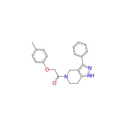 Cc1ccc(OCC(=O)N2CCc3[nH]nc(-c4ccccc4)c3C2)cc1